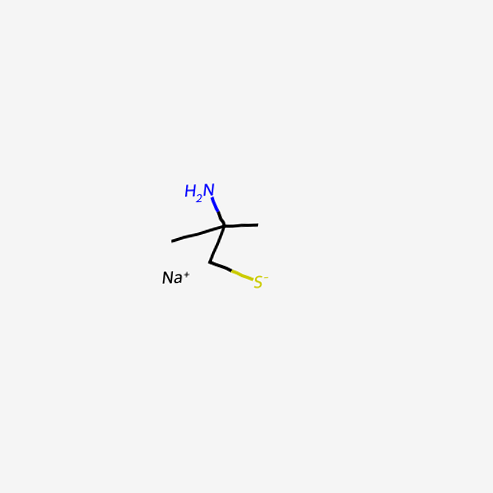 CC(C)(N)C[S-].[Na+]